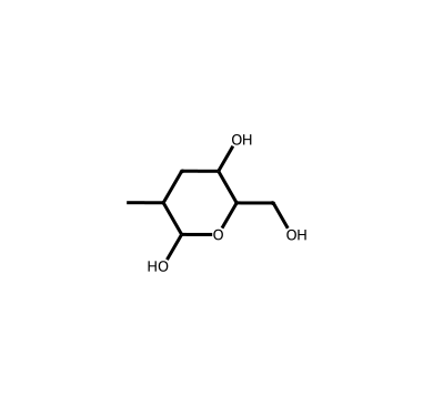 CC1CC(O)C(CO)OC1O